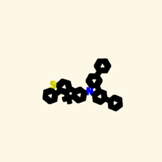 CC1(C)c2ccc(-n3c4ccc(-c5ccccc5)cc4c4cc(-c5ccccc5)ccc43)cc2-c2ccc3sc4ccccc4c3c21